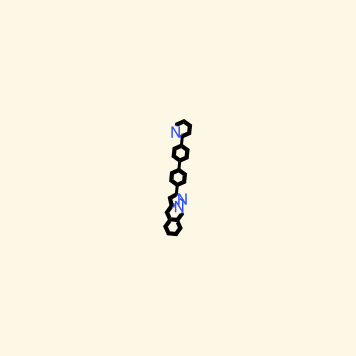 c1ccc(-c2ccc(-c3ccc(-c4cc5cc6ccccc6cn5n4)cc3)cc2)nc1